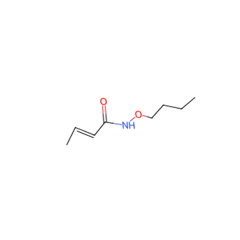 CC=CC(=O)NOCCCC